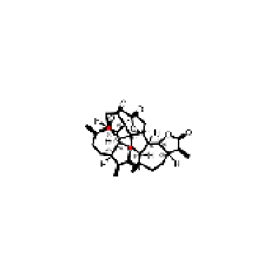 C=C1CC[C@H]2C(=C)C(=O)O[C@@H]2C2[C@H]1CC(=O)[C@]21CC[C@]2(OC(C)=O)[C@@H]3[C@H]4OC(=O)C(=C)[C@@H]4CCC(=C)[C@@H]3C[C@@]21OC(C)=O